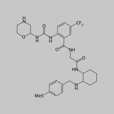 CSc1ccc(CNC2CCCCC2NC(=O)CNC(=O)c2cc(C(F)(F)F)ccc2NC(=O)NC2CNCCO2)cc1